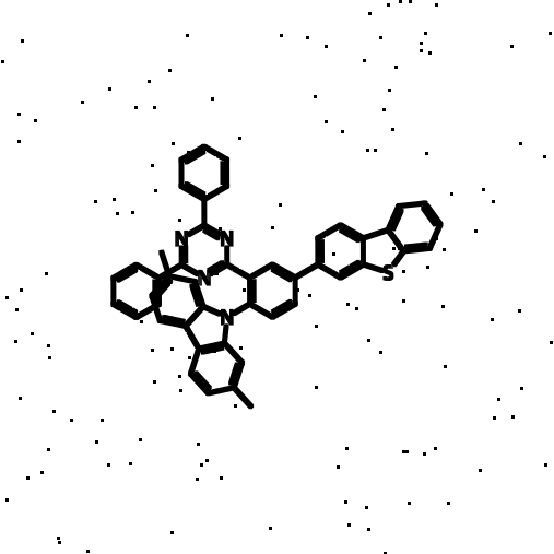 Cc1ccc2c3ccc(C)cc3n(-c3ccc(-c4ccc5c(c4)sc4ccccc45)cc3-c3nc(-c4ccccc4)nc(-c4ccccc4)n3)c2c1